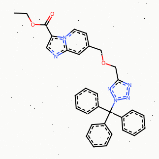 CCOC(=O)c1cnc2cc(COCc3nnn(C(c4ccccc4)(c4ccccc4)c4ccccc4)n3)ccn12